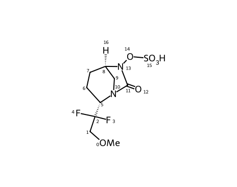 COCC(F)(F)[C@@H]1CC[C@@H]2CN1C(=O)N2OS(=O)(=O)O